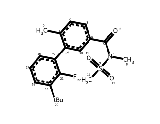 Cc1ccc(C(=O)N(C)S(C)(=O)=O)cc1-c1cccc(C(C)(C)C)c1F